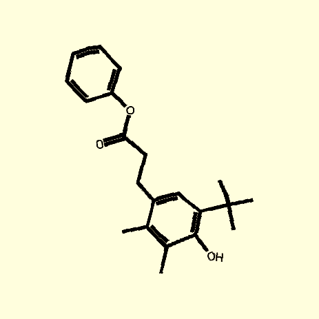 Cc1c(CCC(=O)Oc2ccccc2)cc(C(C)(C)C)c(O)c1C